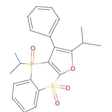 CC(C)c1oc2c(c1-c1ccccc1)P(=O)(C(C)C)c1ccccc1S2(=O)=O